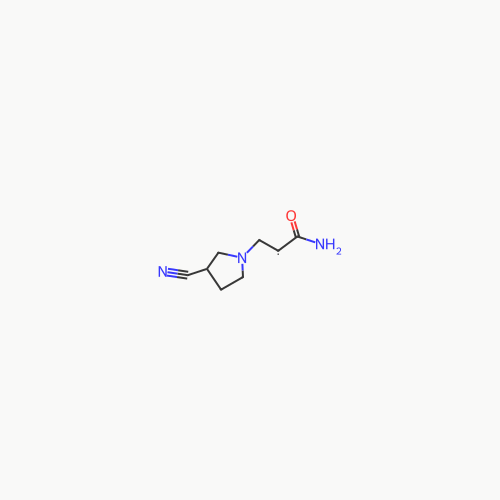 N#CC1CCN(C[CH]C(N)=O)C1